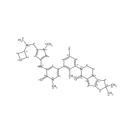 [CH2]c1c(-c2cc(Nc3cc(CN(C)C4COC4)n(C)n3)c(=O)n(C)c2)cc(F)cc1N1CCn2c(cc3c2CC(C)(C)C3)C1=O